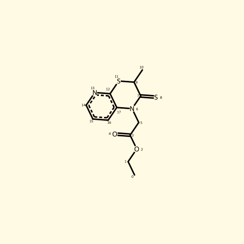 CCOC(=O)CN1C(=S)C(C)Sc2ncccc21